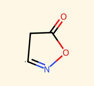 O=C1C[C]=NO1